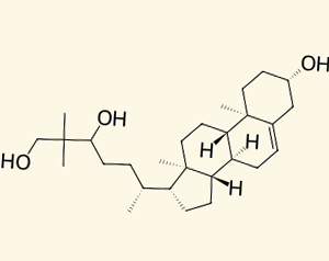 C[C@H](CCC(O)C(C)(C)CO)[C@H]1CC[C@H]2[C@@H]3CC=C4C[C@@H](O)CC[C@]4(C)[C@H]3CC[C@]12C